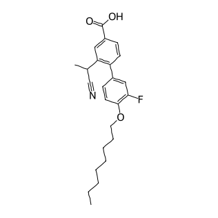 CCCCCCCCOc1ccc(-c2ccc(C(=O)O)cc2C(C)C#N)cc1F